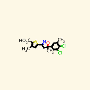 Cc1cc(C2=NOC(c3cc(Cl)c(Cl)c(C(F)(F)F)c3)(C(F)(F)F)C2)sc1C(=O)O